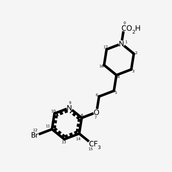 O=C(O)N1CCC(CCOc2ncc(Br)cc2C(F)(F)F)CC1